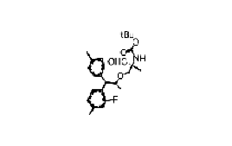 Cc1ccc([C@H](c2ccc(C)cc2F)[C@H](C)OC[C@@](C)(C=O)NC(=O)OC(C)(C)C)cc1